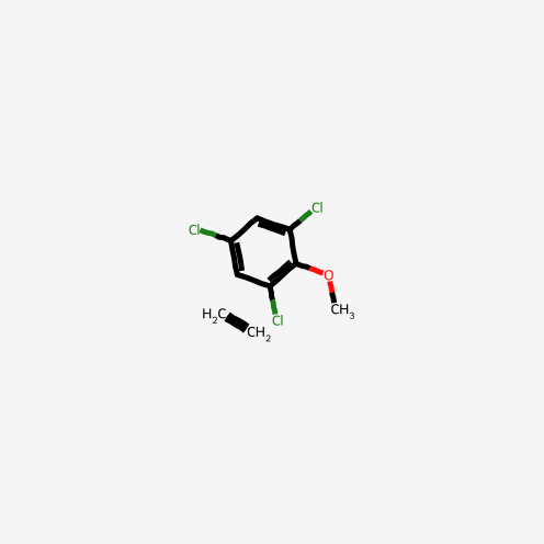 C=C.COc1c(Cl)cc(Cl)cc1Cl